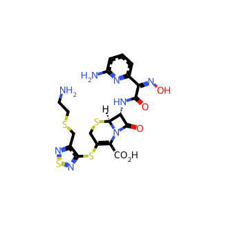 NCCSCc1nsnc1SC1=C(C(=O)O)N2C(=O)[C@@H](NC(=O)/C(=N\O)c3cccc(N)n3)[C@@H]2SC1